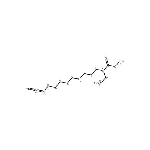 CC(C)(C)OC(=O)N(CCCOCCCCCN=[N+]=[N-])CC(=O)O